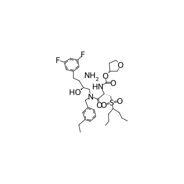 CCCC(CCC)S(=O)(=O)C[C@@H](NC(=O)O[C@H]1CCOC1)C(=O)N(Cc1cccc(CC)c1)C[C@@H](O)[C@@H](N)Cc1cc(F)cc(F)c1